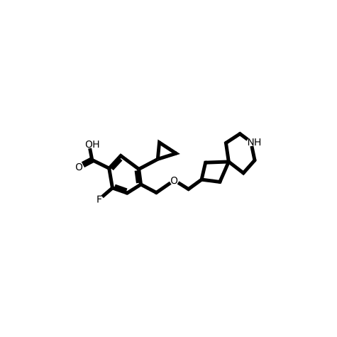 O=C(O)c1cc(C2CC2)c(COCC2CC3(CCNCC3)C2)cc1F